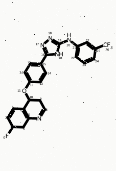 FC1C=CC2=C(C1)N=CCC2Oc1ccc(-c2nnc(Nc3cccc(C(F)(F)F)c3)[nH]2)cc1